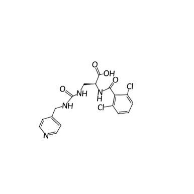 O=C(NCc1ccncc1)NC[C@H](NC(=O)c1c(Cl)cccc1Cl)C(=O)O